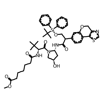 COC(=O)CCCCCC(=O)N[C@H](C(=O)N1C[C@H](O)C[C@H]1NC(=O)C(CO[Si](c1ccccc1)(c1ccccc1)C(C)(C)C)c1ccc2c(c1)OCc1ncsc1-2)C(C)(C)C